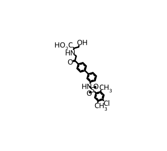 Cc1cc(S(=O)(=O)Nc2cccc(-c3ccc(C(=O)CN[C@H](CO)C(=O)O)cc3)c2)c(C)cc1Cl